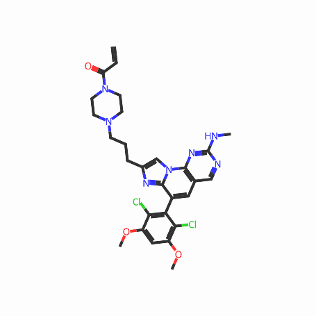 C=CC(=O)N1CCN(CCCc2cn3c(n2)c(-c2c(Cl)c(OC)cc(OC)c2Cl)cc2cnc(NC)nc23)CC1